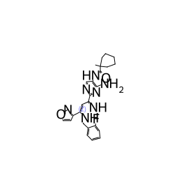 CC1(C(=O)Nc2cnc(C(=N)/C=C(\NCc3ccccc3F)c3ccon3)nc2N)CCCCC1